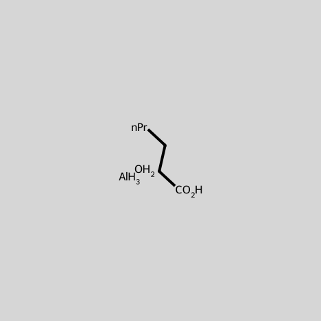 CCCCCC(=O)O.O.[AlH3]